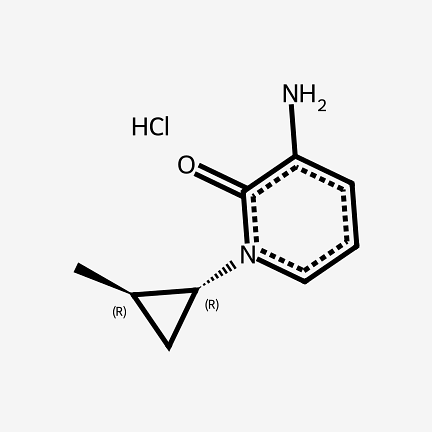 C[C@@H]1C[C@H]1n1cccc(N)c1=O.Cl